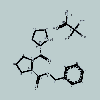 O=C(NCc1ccccc1)[C@@H]1CCCN1C(=O)[C@@H]1CCCN1.O=C(O)C(F)(F)F